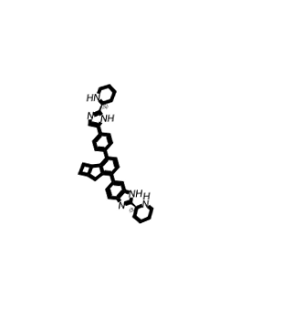 c1cc(-c2ccc(-c3ccc4nc([C@@H]5CCCCN5)[nH]c4c3)c3c2C2CCC2C3)ccc1-c1cnc([C@@H]2CCCCN2)[nH]1